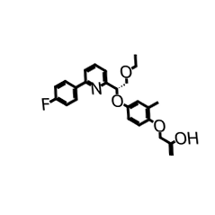 C=C(O)COc1ccc(O[C@@H](COCC)c2cccc(-c3ccc(F)cc3)n2)cc1C